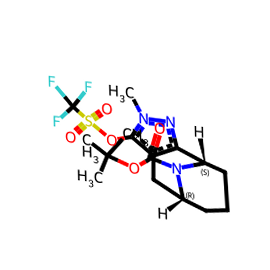 Cn1nc2c(c1OS(=O)(=O)C(F)(F)F)C[C@H]1CCC[C@@H]2N1C(=O)OC(C)(C)C